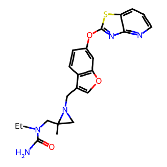 CCN(CC1(C)CN1Cc1coc2cc(Oc3nc4ncccc4s3)ccc12)C(N)=O